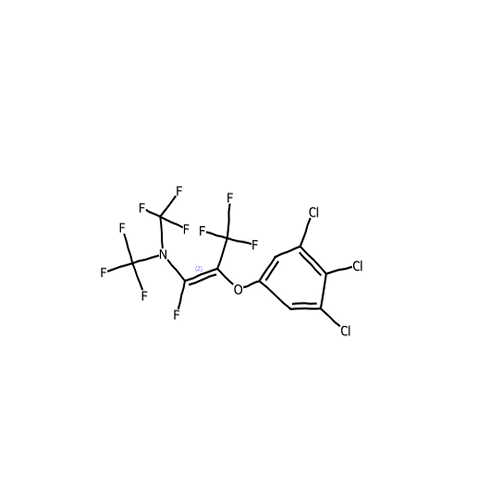 F/C(=C(\Oc1cc(Cl)c(Cl)c(Cl)c1)C(F)(F)F)N(C(F)(F)F)C(F)(F)F